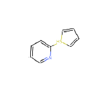 [c]1ccc([SH]2C=CC=C2)nc1